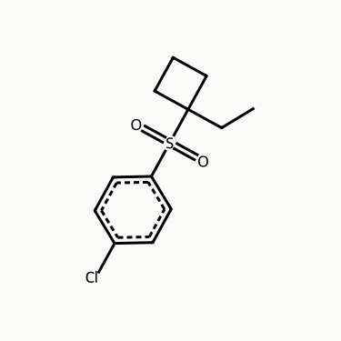 CCC1(S(=O)(=O)c2ccc(Cl)cc2)CCC1